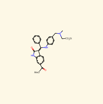 CCOC(=O)CN(C)Cc1ccc(NC(=C2C(=O)Nc3cc(C(=O)OC)ccc32)c2ccccc2)cc1